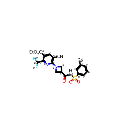 CCOC(=O)c1cc(C#N)c(N2CC(C(=O)[AsH]S(=O)(=O)c3cccc(C#N)c3)C2)nc1C(F)F